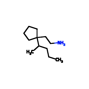 CCCC(C)C1(CCN)CCCC1